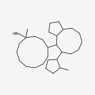 CCCCC1(C)CCCCCCCC(C2C3CCCC3CCCCCC2C2CCCC2C)CC1